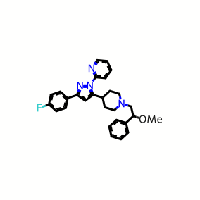 COC(CN1CCC(c2cc(-c3ccc(F)cc3)nn2-c2ccccn2)CC1)c1ccccc1